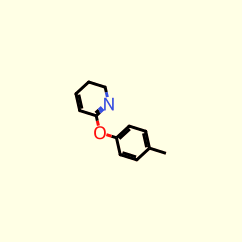 Cc1ccc(OC2=NCCC=C2)cc1